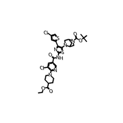 CCOC(=O)C1CCN(c2ncc(C(=O)Nc3nc(-c4cc(Cl)cs4)c(N4CC5CC4CN5C(=O)OC(C)(C)C)s3)cc2Cl)CC1